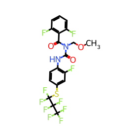 COCN(C(=O)Nc1ccc(SC(F)(F)C(F)(F)C(F)(F)F)cc1F)C(=O)c1c(F)cccc1F